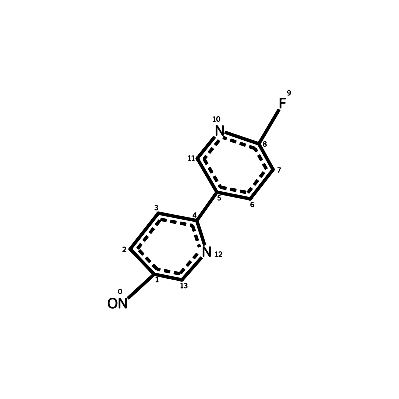 O=Nc1ccc(-c2ccc(F)nc2)nc1